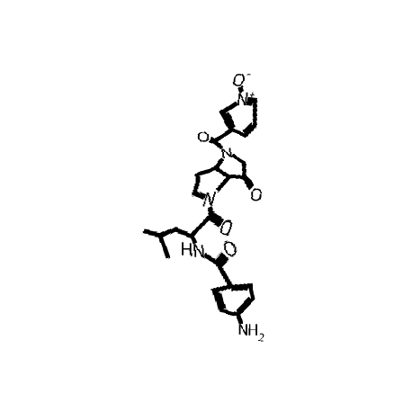 CC(C)CC(NC(=O)c1ccc(N)cc1)C(=O)N1CCC2C1C(=O)CN2C(=O)c1ccc[n+]([O-])c1